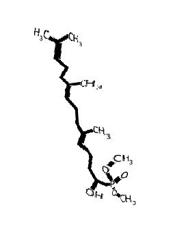 COP(=O)(OC)C(O)CC/C=C(\C)CC/C=C(\C)CCC=C(C)C